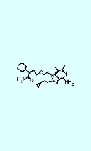 Cc1nc(N)c2nc(CCC3CC3)n(CCOCCN(C(N)=O)C3CCCCC3)c2c1C